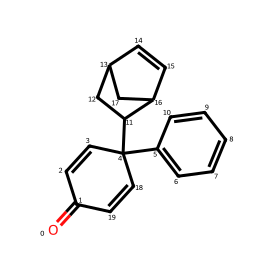 O=C1C=CC(c2ccccc2)(C2CC3C=CC2C3)C=C1